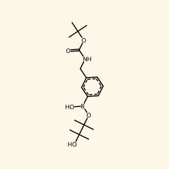 CC(C)(C)OC(=O)NCc1cccc(B(O)OC(C)(C)C(C)(C)O)c1